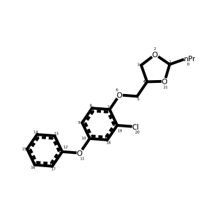 CCCC1OCC(COc2ccc(Oc3ccccc3)cc2Cl)O1